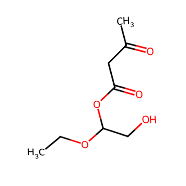 CCOC(CO)OC(=O)CC(C)=O